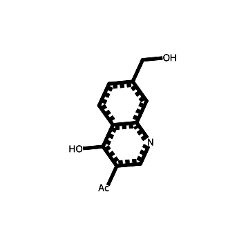 CC(=O)c1cnc2cc(CO)ccc2c1O